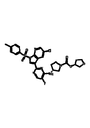 Cc1ccc(S(=O)(=O)n2cc(-c3ncc(F)c(N[C@@H]4CCN(C(=O)O[C@H]5CCOC5)C4)n3)c3cc(Cl)cnc32)cc1